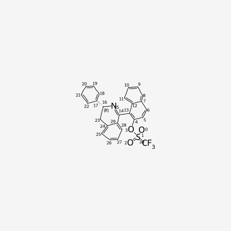 O=S(=O)(Oc1ccc2ccccc2c1C1=N[C@@H](c2ccccc2)Cc2ccccc21)C(F)(F)F